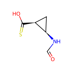 O=CN[C@@H]1C[C@@H]1C(O)=S